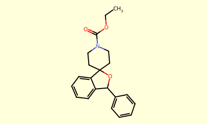 CCOC(=O)N1CCC2(CC1)OC(c1ccccc1)c1ccccc12